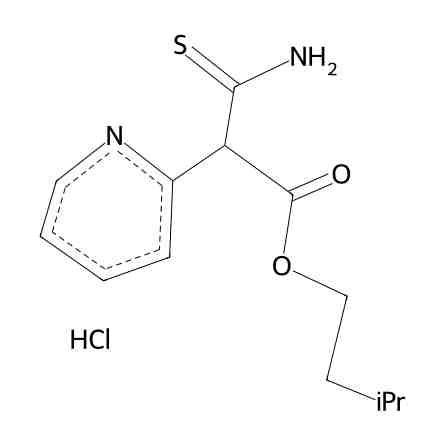 CC(C)CCOC(=O)C(C(N)=S)c1ccccn1.Cl